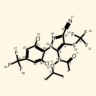 CC(=O)N(OC(C)C)c1c(SC(F)(F)F)c(C#N)nn1-c1c(Cl)cc(C(F)(F)F)cc1Cl